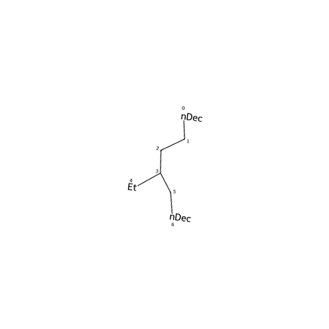 [CH2]CCCCCCCCCCCC(CC)CCCCCCCCCC[CH2]